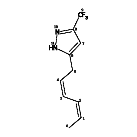 C/C=C\C=C/Cc1cc(C(F)(F)F)n[nH]1